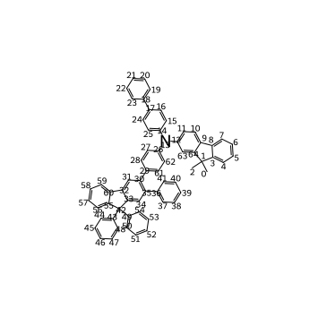 CC1(C)c2ccccc2-c2ccc(N(c3ccc(-c4ccccc4)cc3)c3ccc(-c4cc5c(cc4-c4ccccc4)C(c4ccccc4)(c4ccccc4)c4ccccc4-5)cc3)cc21